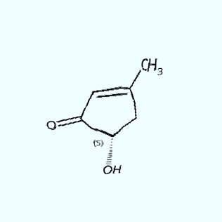 CC1=CC(=O)[C@@H](O)C1